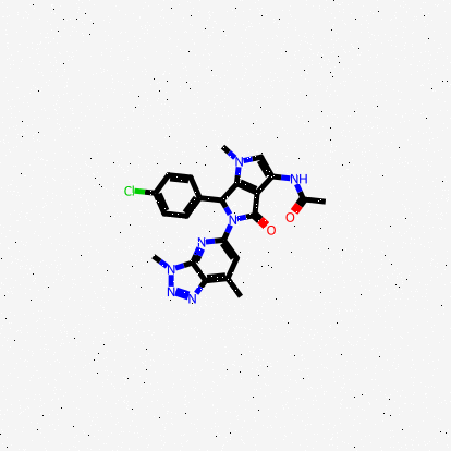 CC(=O)Nc1cn(C)c2c1C(=O)N(c1cc(C)c3nnn(C)c3n1)C2c1ccc(Cl)cc1